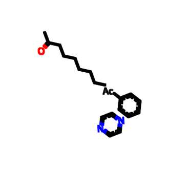 CC(=O)c1ccccc1.CCCCCCCC(C)=O.c1cnccn1